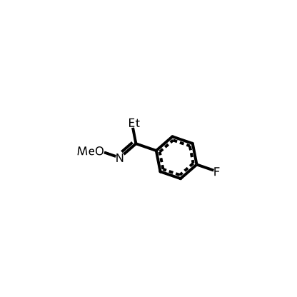 CCC(=NOC)c1ccc(F)cc1